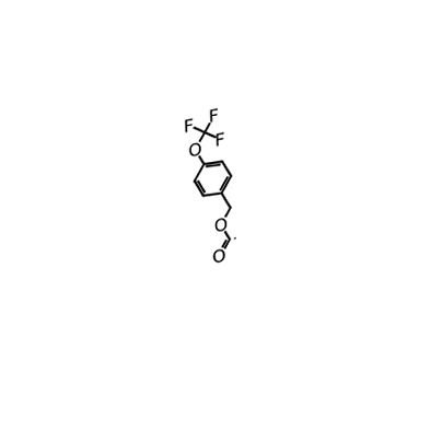 O=[C]OCc1ccc(OC(F)(F)F)cc1